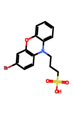 O=S(=O)(O)CCCN1c2ccccc2Oc2cc(Br)ccc21